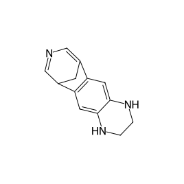 C1=NC=C2CC1c1cc3c(cc12)NCCN3